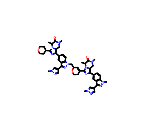 CC1C(=O)N(C)Cc2c(-c3ccc4c(c3)c(-c3cnn(C)c3)nn4C)nc(C3=CC(Cn4nc(-c5cnn(C)c5)c5cc(-c6nc(C7CCOCC7)n7c6CN(C)C(=O)C7C)ccc54)OCC3)n21